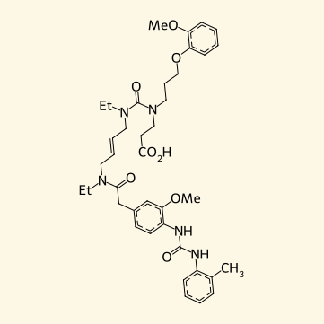 CCN(C/C=C/CN(CC)C(=O)N(CCCOc1ccccc1OC)CCC(=O)O)C(=O)Cc1ccc(NC(=O)Nc2ccccc2C)c(OC)c1